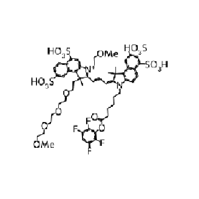 COCCOCCOCCOCCC1(C)C(/C=C/C=C2/N(CCCCCC(=O)Oc3c(F)c(F)cc(F)c3F)c3ccc4c(S(=O)(=O)O)cc(S(=O)(=O)O)cc4c3C2(C)C)=[N+](CCOC)c2cc(S(=O)(=O)O)c3ccc(S(=O)(=O)O)cc3c21